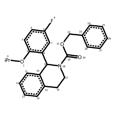 CC(C)Oc1ccc(F)cc1C1c2ccccc2CCN1C(=O)OCc1ccccc1